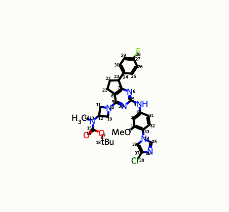 COc1cc(Nc2nc3c(c(N4CC(N(C)C(=O)OC(C)(C)C)C4)n2)CCC3c2ccc(F)cc2)ccc1-n1cnc(Cl)c1